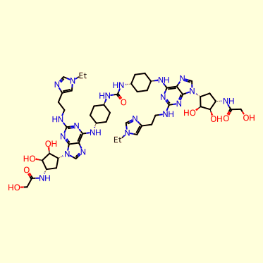 CCn1cnc(CCNc2nc(N[C@H]3CC[C@H](NC(=O)N[C@H]4CC[C@H](Nc5nc(NCCc6cn(CC)cn6)nc6c5ncn6[C@@H]5C[C@H](NC(=O)CO)[C@@H](O)[C@H]5O)CC4)CC3)c3ncn([C@@H]4C[C@H](NC(=O)CO)[C@@H](O)[C@H]4O)c3n2)c1